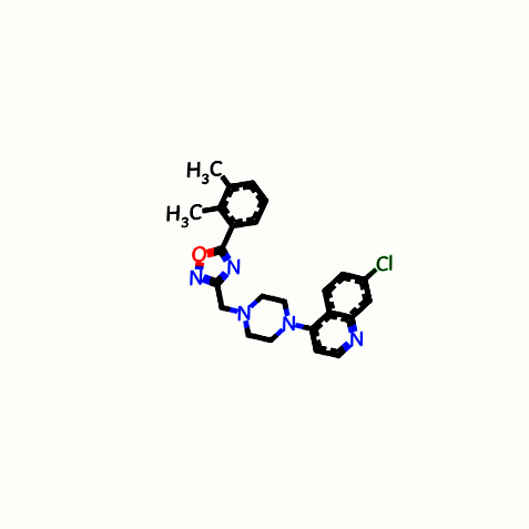 Cc1cccc(-c2nc(CN3CCN(c4ccnc5cc(Cl)ccc45)CC3)no2)c1C